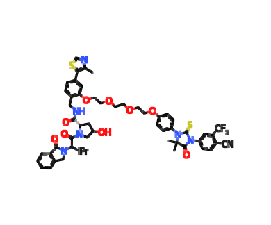 Cc1ncsc1-c1ccc(CNC(=O)[C@@H]2C[C@@H](O)CN2C(=O)C(C(C)C)N2Cc3ccccc3C2=O)c(OCCOCCOCCOc2ccc(N3C(=S)N(c4ccc(C#N)c(C(F)(F)F)c4)C(=O)C3(C)C)cc2)c1